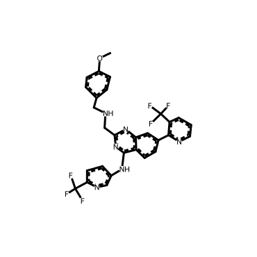 COc1ccc(CNCc2nc(Nc3ccc(C(F)(F)F)nc3)c3ccc(-c4ncccc4C(F)(F)F)cc3n2)cc1